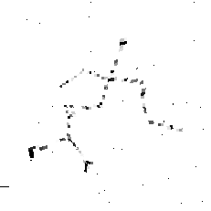 CCCC(F)(CC)COC(F)F